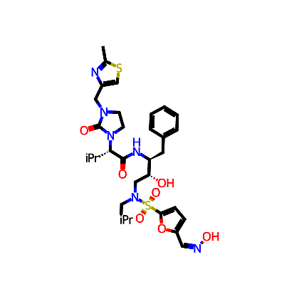 Cc1nc(CN2CCN([C@H](C(=O)N[C@@H](Cc3ccccc3)[C@H](O)CN(CC(C)C)S(=O)(=O)c3ccc(/C=N\O)o3)C(C)C)C2=O)cs1